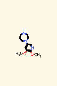 COc1cc(N2CCCNCC2)cnc1OC